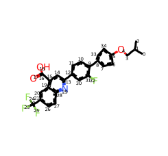 CC(C)COc1ccc(-c2ccc(-c3cc(C(=O)O)c4cc(C(F)(F)F)ccc4n3)cc2F)cc1